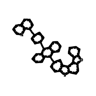 c1cnc2c(-c3ccc(-c4c5ccccc5c(-c5ccc6sc7ccc8oc9ccccc9c8c7c6c5)c5ccccc45)cc3)cccc2c1